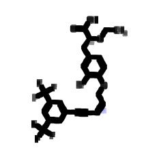 CCO[C@@H](Cc1ccc(OC/C=C\C#Cc2cc(C(F)(F)F)cc(C(F)(F)F)c2)c(Br)c1)C(=O)O